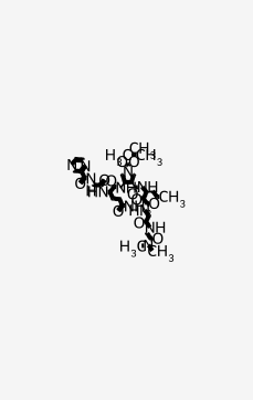 CCC[C@H](NC(=O)[C@@H]1CN(C(=O)OC(C)(C)C)C[C@@H]1NC(=O)C(CCC(N)=O)NC(=O)CNC(=O)c1cnccn1)C(=O)C(=O)NCC(=O)NCC(=O)N(C)C